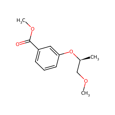 COC[C@H](C)Oc1cccc(C(=O)OC)c1